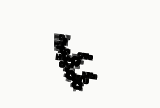 CNC(=O)Nc1ccccc1-c1ccc(CN2Cc3ccc(OC)cc3S[C@@H](NC(=O)CC(C)(C)NC[C@@H](C)O)C2=O)cc1